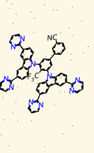 N#Cc1cccc(-c2cc(-n3c4ccc(-c5ncccn5)cc4c4cc(-c5ncccn5)ccc43)c(C(F)(F)F)c(-n3c4ccc(-c5ncccn5)cc4c4cc(-c5ncccn5)ccc43)c2)c1